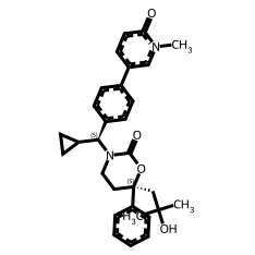 Cn1cc(-c2ccc([C@H](C3CC3)N3CC[C@](CC(C)(C)O)(c4ccccc4)OC3=O)cc2)ccc1=O